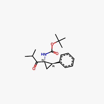 CC(C)C(=O)[C@]1(NC(=O)OC(C)(C)C)C[C@@H]1c1ccccc1